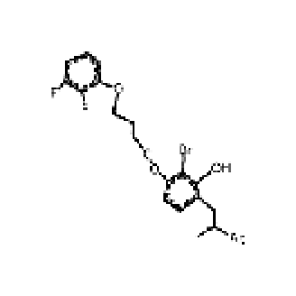 CC(=O)C(C)Cc1ccc(OCCCCOc2cccc(F)c2F)c(Br)c1O